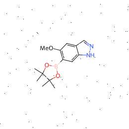 COc1cc2cn[nH]c2cc1B1OC(C)(C)C(C)(C)O1